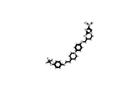 O=[N+]([O-])c1cn2c(n1)OC(COc1ccc(N3CCC(CCSc4ccc(OC(F)(F)F)cc4)CC3)cc1)CC2